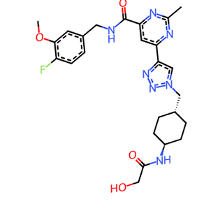 COc1cc(CNC(=O)c2cc(-c3cn(C[C@H]4CC[C@H](NC(=O)CO)CC4)nn3)nc(C)n2)ccc1F